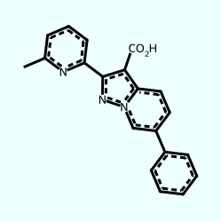 Cc1cccc(-c2nn3cc(-c4ccccc4)ccc3c2C(=O)O)n1